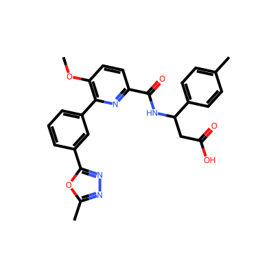 COc1ccc(C(=O)NC(CC(=O)O)c2ccc(C)cc2)nc1-c1cccc(-c2nnc(C)o2)c1